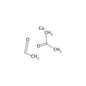 CC(C)=O.CC=O.[Co]